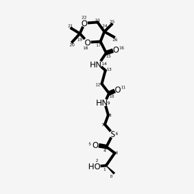 C[C@@H](O)CC(=O)SCCNC(=O)CCNC(=O)C1OC(C)(C)OCC1(C)C